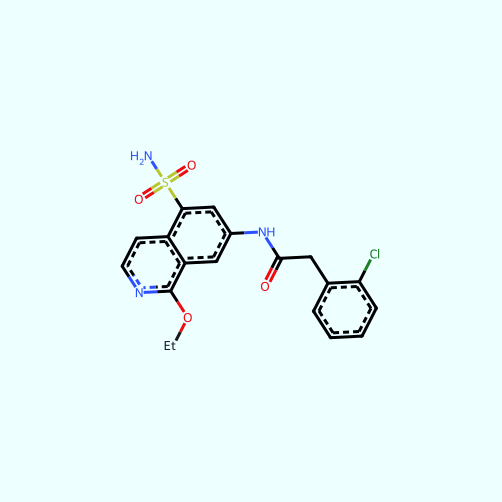 CCOc1nccc2c(S(N)(=O)=O)cc(NC(=O)Cc3ccccc3Cl)cc12